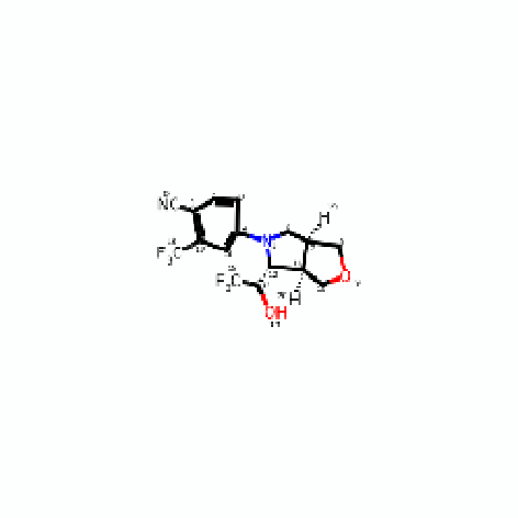 N#Cc1ccc(N2C[C@H]3COC[C@H]3[C@@H]2C(O)C(F)(F)F)cc1C(F)(F)F